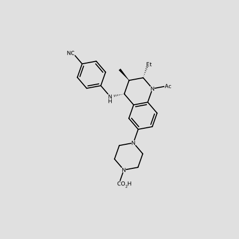 CC[C@H]1[C@H](C)[C@@H](Nc2ccc(C#N)cc2)c2cc(N3CCN(C(=O)O)CC3)ccc2N1C(C)=O